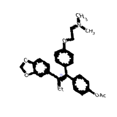 CC/C(=C(/c1ccc(OCCN(C)C)cc1)c1ccc(OC(C)=O)cc1)c1ccc2c(c1)OCO2